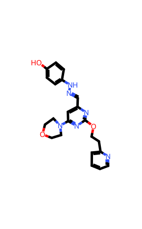 Oc1ccc(N/N=C/c2cc(N3CCOCC3)nc(OCCc3ccccn3)n2)cc1